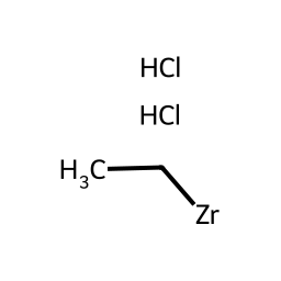 C[CH2][Zr].Cl.Cl